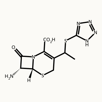 CC(Sc1nnn[nH]1)C1=C(C(=O)O)N2C(=O)[C@@H](N)[C@H]2SC1